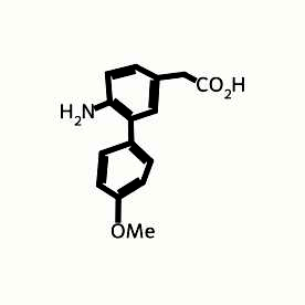 COc1ccc(-c2cc(CC(=O)O)ccc2N)cc1